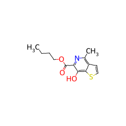 CCCCOC(=O)c1nc(C)c2ccsc2c1O